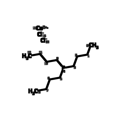 CCCCP(CCCC)CCCC.[Cl-].[Cl-].[Co+2]